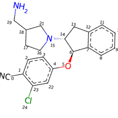 N#Cc1ccc(O[C@@H]2c3ccccc3C[C@H]2N2CCC(CN)C2)cc1Cl